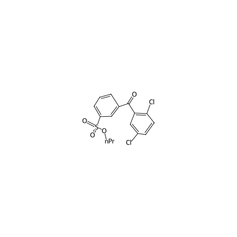 CCCOS(=O)(=O)c1cccc(C(=O)c2cc(Cl)ccc2Cl)c1